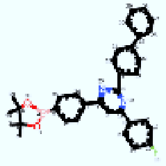 CC1(C)OB(c2ccc(-c3cc(-c4ccc(F)cc4)nc(-c4ccc(-c5ccccc5)cc4)n3)cc2)OC1(C)C